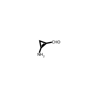 NC1=C(C=O)C1